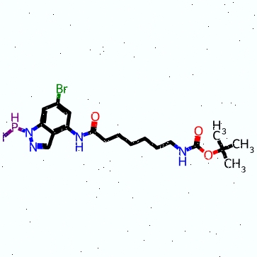 CC(C)(C)OC(=O)NCCCCCCC(=O)Nc1cc(Br)cc2c1cnn2PI